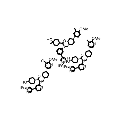 COc1ccc([C@H]2CC[C@H](CN(C(=O)C3CCC(C)(O)CC3)c3cccc(-c4cnn(C(C)C)c4)c3)CC2)cc1C.COc1ncc([C@H]2CC[C@H](CN(c3cc(-c4cnn(C(C)C)c4)ccn3)C(=O)[C@H]3CC[C@H](O)CC3)CC2)cc1C.COc1ncc([C@H]2CC[C@H](CN(c3cc(-c4cnn(C(C)C)c4)ccn3)C(=O)[C@H]3CC[C@H](O)CC3)CC2)cc1Cl